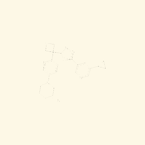 N[C@@H]1CCCN(c2ccc(C3(c4nnc(-c5cncc(C6CC6)c5)o4)COC3)nc2)C1